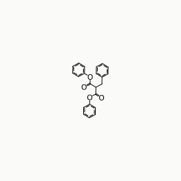 O=C(Oc1ccccc1)C(Cc1ccccc1)C(=O)Oc1ccccc1